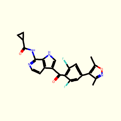 Cc1noc(C)c1-c1cc(F)c(C(=O)c2c[nH]c3c(NC(=O)C4CC4)nccc23)c(F)c1